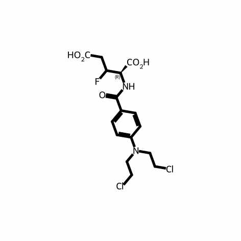 O=C(O)CC(F)[C@H](NC(=O)c1ccc(N(CCCl)CCCl)cc1)C(=O)O